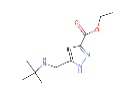 CCOC(=O)c1cc(CNC(C)(C)C)[nH]n1